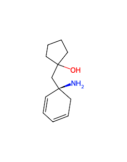 N[C@]1(CC2(O)CCCC2)C=CC=CC1